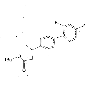 CC(CC(=O)OC(C)(C)C)c1ccc(-c2ccc(F)cc2F)cc1